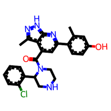 Cc1cc(O)ccc1-c1cc(C(=O)N2CCNCC2c2ccccc2Cl)c2c(C)n[nH]c2n1